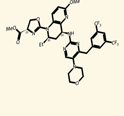 CC[C@@H]1C[C@H](Nc2ncc(N3CCOCC3)c(Cc3cc(C(F)(F)F)cc(C(F)(F)F)c3)n2)c2nc(OC)ccc2N1C1=N[C@H](C(=O)OC)CO1